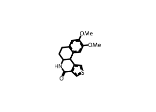 COc1cc2c(cc1OC)C1c3cscc3C(=O)NC1CC2